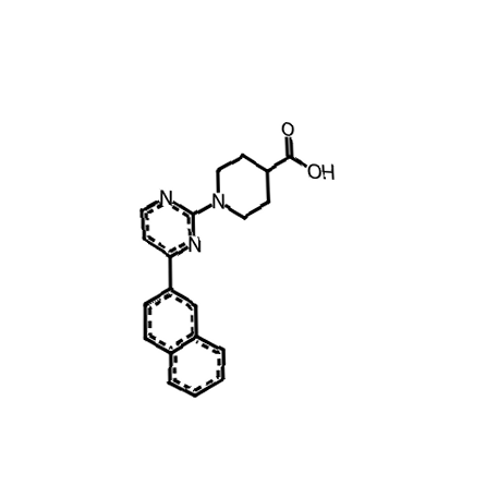 O=C(O)C1CCN(c2nccc(-c3ccc4ccccc4c3)n2)CC1